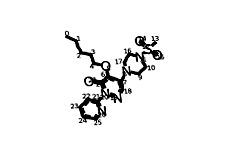 CCCCCOc1c(N2CCN(S(C)(=O)=O)CC2)cnn(-c2ccccn2)c1=O